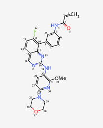 C=CC(=O)Nc1cccc(-c2c(F)ccc3cnc(Nc4ccc(N5CCOCC5)nc4OC)nc23)c1